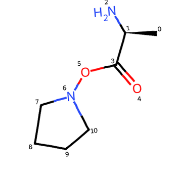 C[C@H](N)C(=O)ON1CCCC1